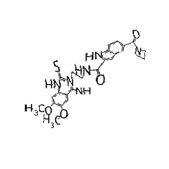 COc1cc2[nH]c(=S)n(CCNC(=O)c3cc4cc(C(=O)N5CCC5)ccc4[nH]3)c(=N)c2cc1OC